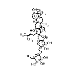 CC(C)=CCC[C@](C)(O[C@@H]1O[C@H](CO[C@@H]2O[C@H](CO)[C@@H](O)[C@H](O)[C@H]2O)[C@@H](O)[C@H](O)[C@H]1O)[C@H]1CC[C@]2(C)[C@@H]1[C@H](O)C[C@@H]1[C@@]3(C)CC[C@H](O)C(C)(C)[C@@H]3CC[C@]12C